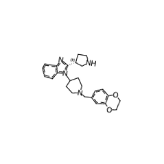 c1ccc2c(c1)nc([C@@H]1CCNC1)n2C1CCN(Cc2ccc3c(c2)OCCO3)CC1